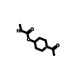 CNC(=O)OC1CCN(C(C)=O)CC1